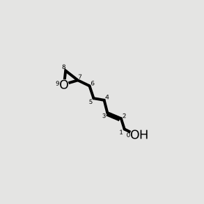 OCC=CCCCC1CO1